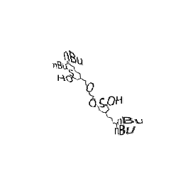 CCCCC(CCCC)CCCC(CCOCCOCCC(CCCC(CCCC)CCCC)CC(O)=S)CC(O)=S